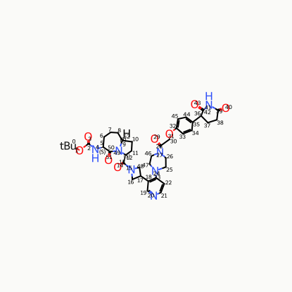 CC(C)(C)OC(=O)N[C@H]1CCC[C@H]2CC[C@@H](C(=O)N3CC(c4cnccc4N4CCN(C(=O)COc5ccc(C6CCC(=O)NC6=O)cc5)CC4)C3)N2C1=O